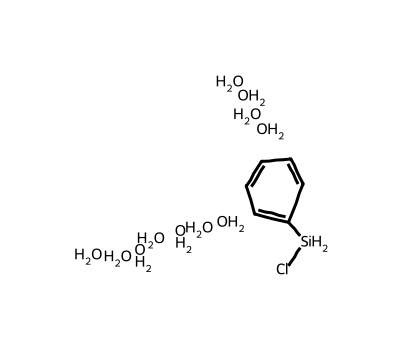 Cl[SiH2]c1ccccc1.O.O.O.O.O.O.O.O.O.O.O